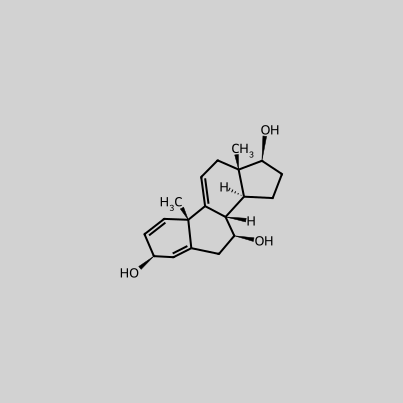 C[C@]12C=C[C@H](O)C=C1C[C@H](O)[C@@H]1C2=CC[C@]2(C)[C@@H](O)CC[C@@H]12